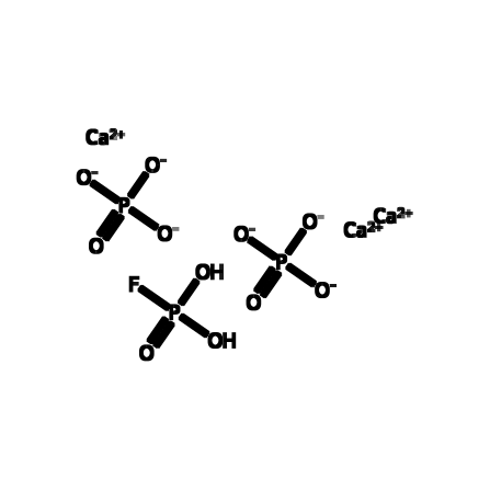 O=P(O)(O)F.O=P([O-])([O-])[O-].O=P([O-])([O-])[O-].[Ca+2].[Ca+2].[Ca+2]